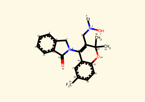 CCN(O)CC1=C(N2Cc3ccccc3C2=O)c2cc(C(F)(F)F)ccc2OC1(C)C